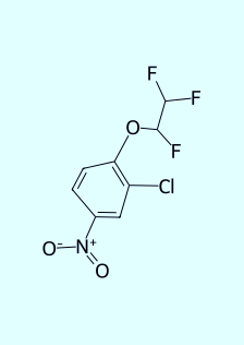 O=[N+]([O-])c1ccc(OC(F)C(F)F)c(Cl)c1